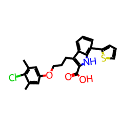 Cc1cc(OCCCc2c(C(=O)O)[nH]c3c(-c4cccs4)cccc23)cc(C)c1Cl